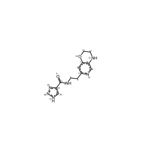 O=C(NCCc1cc2c(cn1)NCCO2)c1c[nH]nn1